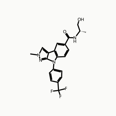 C[C@@H](CO)NC(=O)c1ccc2c(c1)c1cn(C)nc1n2-c1ccc(C(F)(F)F)cc1